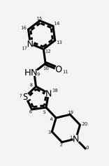 CN1CCC(c2csc(NC(=O)c3ccccn3)n2)CC1